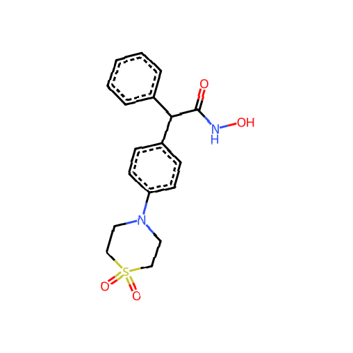 O=C(NO)C(c1ccccc1)c1ccc(N2CCS(=O)(=O)CC2)cc1